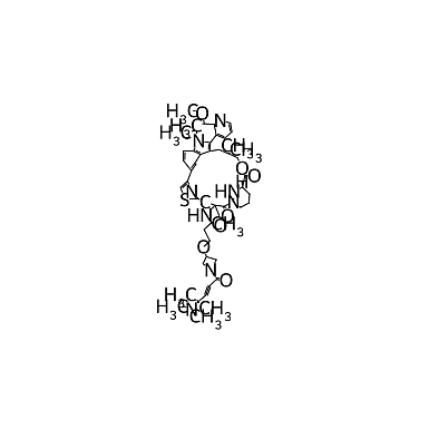 CCn1c(-c2cccnc2[C@H](C)OC)c2c3cc(ccc31)-c1csc(n1)CC(CC)(NC(=O)CCOC1CN(C(=O)C#CC(C)(C)N(C)C)C1)C(=O)N1CCC[C@H](N1)C(=O)OCC(C)(C)C2